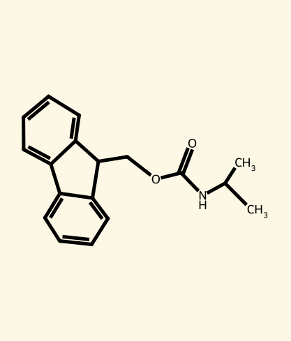 CC(C)NC(=O)OCC1c2ccccc2-c2ccccc21